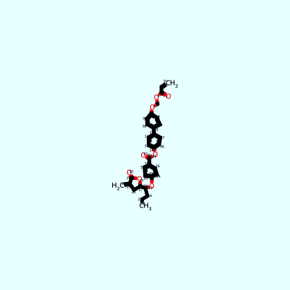 C=CC(=O)OCOc1ccc(-c2ccc(OC(=O)c3ccc(OC(CCC)C4CC(=C)C(=O)O4)cc3)cc2)cc1